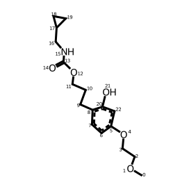 COCCOc1ccc(CCCOC(=O)NCC2CC2)c(O)c1